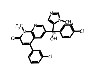 Cn1cncc1[C@@](O)(c1ccc(Cl)cc1)c1cnc2c(c1)c(-c1cccc(Cl)c1)cc(=O)n2C(F)(F)F